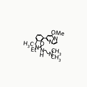 CCN(C(=O)NCCN(C)C)[C@H](C)c1cccc(-c2cc(OC)c3nccn3c2)c1